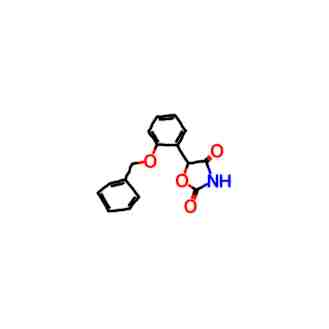 O=C1NC(=O)C(c2ccccc2OCc2ccccc2)O1